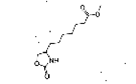 COC(=O)CCCCCCC1COC(=O)N1